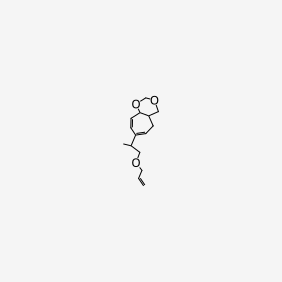 C=CCOCC(C)C1=CCC2COCOC2C=C1